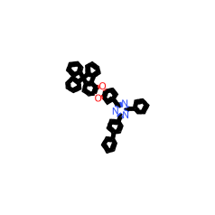 c1ccc(-c2ccc(-c3nc(-c4ccccc4)nc(-c4ccc5c(c4)Oc4ccc6c(c4O5)-c4ccccc4C6(c4ccccc4)c4ccccc4)n3)cc2)cc1